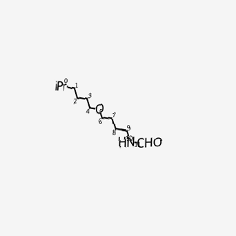 CC(C)CCCCOCCCCNC=O